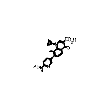 CC(=O)N(C)c1ccc(-c2ccc3c(=O)c(C(=O)O)cn(C4CC4)c3c2C)cn1